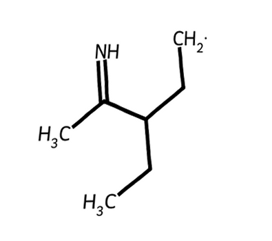 [CH2]CC(CC)C(C)=N